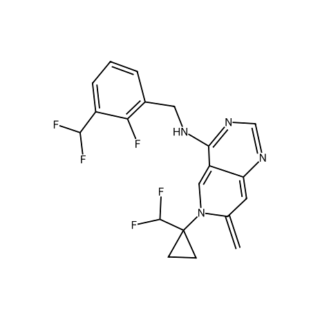 C=C1C=c2ncnc(NCc3cccc(C(F)F)c3F)c2=CN1C1(C(F)F)CC1